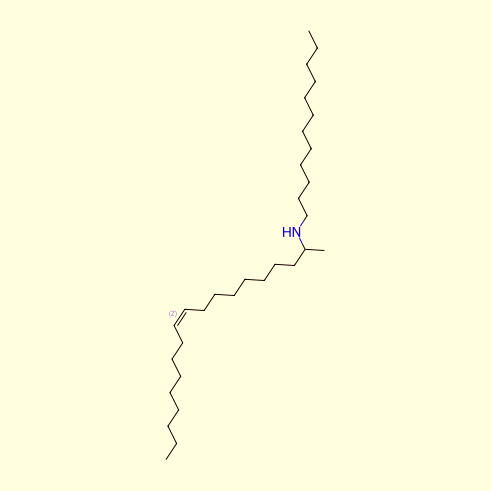 CCCCCCCC/C=C\CCCCCCCC(C)NCCCCCCCCCCCC